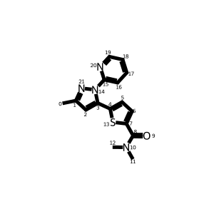 Cc1cc(-c2ccc(C(=O)N(C)C)s2)n(-c2ccccn2)n1